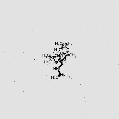 C=C(N)NC[Si](C)(O[Si](C)(C)C)O[Si](C)(C)O[Si](C)(C)C